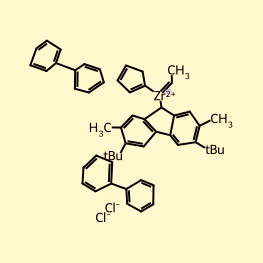 C/[CH]=[Zr+2](\[C]1=CC=CC1)[CH]1c2cc(C)c(C(C)(C)C)cc2-c2cc(C(C)(C)C)c(C)cc21.[Cl-].[Cl-].c1ccc(-c2ccccc2)cc1.c1ccc(-c2ccccc2)cc1